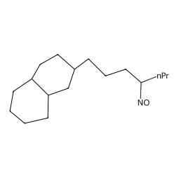 CCCC(CCCC1CCC2CCCCC2C1)N=O